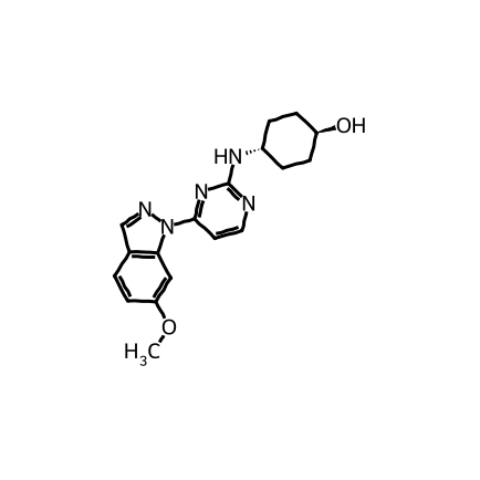 COc1ccc2cnn(-c3ccnc(N[C@H]4CC[C@H](O)CC4)n3)c2c1